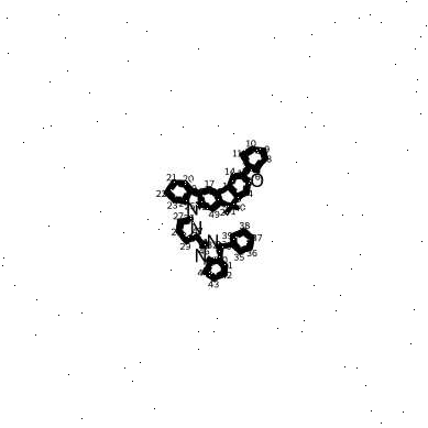 CC1(C)c2cc3oc4ccccc4c3cc2-c2cc3c4ccccc4n(-c4cccc(-c5nc(-c6ccccc6)c6ccccc6n5)n4)c3cc21